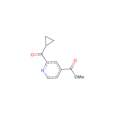 COC(=O)c1ccnc(C(=O)C2CC2)c1